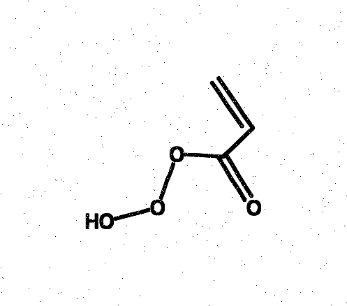 C=CC(=O)OOO